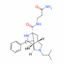 CC(C)CN1C[C@H]2C[C@]3(C(=O)NCCC(N)=O)NC[C@H]2[C@H]1[C@H]3Cc1ccccc1